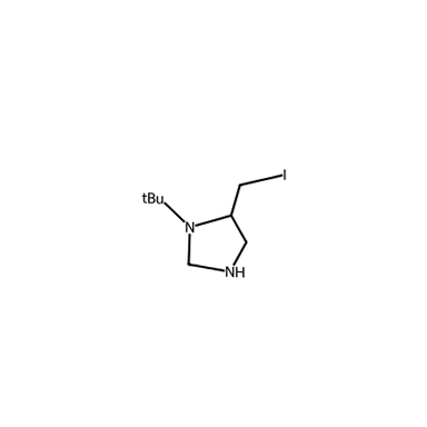 CC(C)(C)N1CNCC1CI